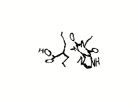 CCCC(CCC)C(=O)O.Cn1c(=O)c2[nH]cnc2n(C)c1=O